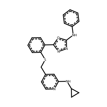 c1ccc(Nc2nnc(-c3ccccc3SCc3ccnc(NC4CC4)c3)o2)cc1